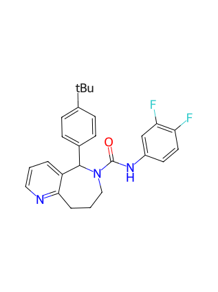 CC(C)(C)c1ccc(C2c3cccnc3CCCN2C(=O)Nc2ccc(F)c(F)c2)cc1